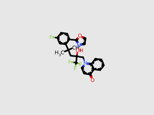 CC(C)(CC(O)(Cn1ccc(=O)c2ccccc21)C(F)(F)F)c1cc(F)ccc1-c1ncco1